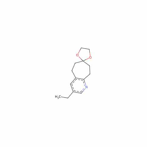 CCc1cnc2c(c1)CCC1(CC2)OCCO1